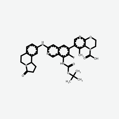 Cc1c(-c2cc3cc(Nc4ccc5c(c4)C4CCC(=O)N4CC5)ncc3c(NC(=O)OC(C)(C)C)c2F)cnc2c1N(C(=O)O)CCO2